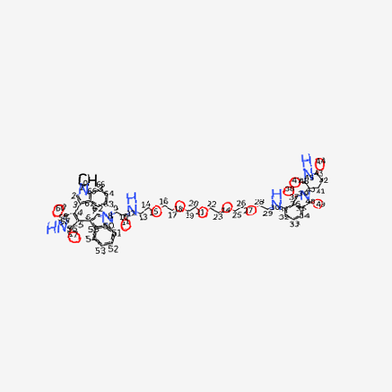 Cn1cc(C2=C(c3cn(CC(=O)NCCOCCOCCOCCOCCOCCNc4cccc5c4C(=O)N(C4CCC(=O)NC4=O)C5=O)c4ccccc34)C(=O)NC2=O)c2ccccc21